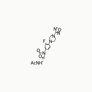 CC(=O)NC[C@H]1CN(c2ccc(N3CCN(c4ncon4)CC3)c(F)c2)C(=O)O1